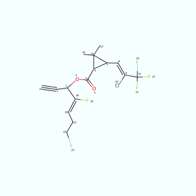 C#CC(OC(=O)C1C(C=C(Cl)C(F)(F)F)C1(C)C)C(F)=CCCF